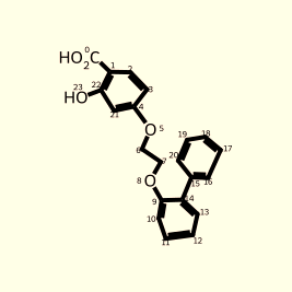 O=C(O)c1ccc(OCCOc2ccccc2-c2ccccc2)cc1O